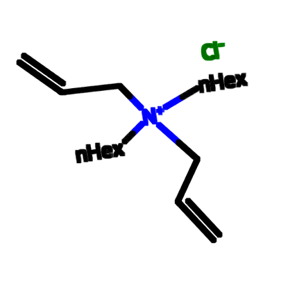 C=CC[N+](CC=C)(CCCCCC)CCCCCC.[Cl-]